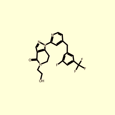 O=C1c2cnn(-c3cc(Cc4cc(F)cc(C(F)(F)F)c4)ccn3)c2CCN1CCO